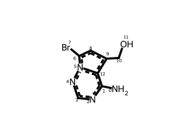 Nc1ncnn2c(Br)cc(CO)c12